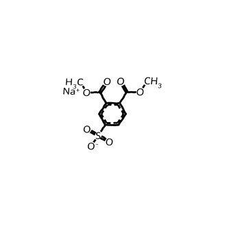 COC(=O)c1ccc(S(=O)(=O)[O-])cc1C(=O)OC.[Na+]